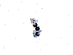 CCc1cc(C2=CCN(C(=O)NC#N)CC2)ccc1N(C)c1cc2c(cn1)ncn2C